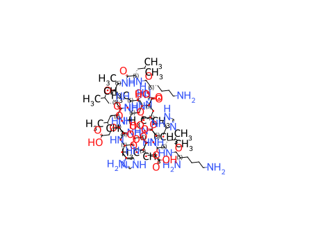 CC(C)C[C@H](NC(=O)[C@H](C)NC(=O)[C@H](CC(C)C)NC(=O)[C@@H](N)CCCCN)C(=O)N[C@@H](CCCCN)C(=O)N[C@@H](CC(C)C)C(=O)N[C@@H](C)C(=O)N[C@@H](CC(C)C)C(=O)N[C@@H](CCCCN)C(=O)N[C@@H](CC(C)C)C(=O)N[C@@H](C)C(=O)N[C@@H](CC(C)C)C(=O)N[C@@H](Cc1c[nH]cn1)C(=O)N[C@@H](CCC(=O)O)C(=O)N[C@@H](Cc1c[nH]cn1)C(=O)N[C@@H](CCC(=O)O)C(=O)N[C@@H](Cc1c[nH]cn1)C(=O)N[C@@H](CCC(=O)O)C(=O)O